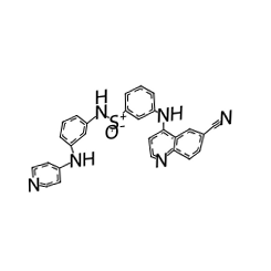 N#Cc1ccc2nccc(Nc3cccc([S+]([O-])Nc4cccc(Nc5ccncc5)c4)c3)c2c1